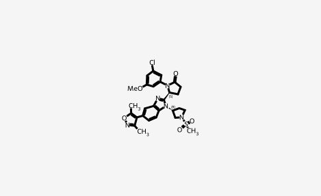 COc1cc(Cl)cc(N2C(=O)CC[C@H]2c2nc3cc(-c4c(C)noc4C)ccc3n2[C@@H]2CCN(S(C)(=O)=O)C2)c1